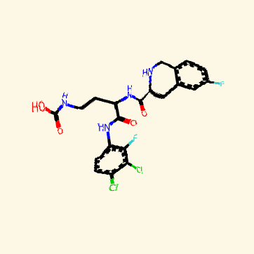 O=C(O)NCCC(NC(=O)[C@@H]1Cc2cc(F)ccc2CN1)C(=O)Nc1ccc(Cl)c(Cl)c1F